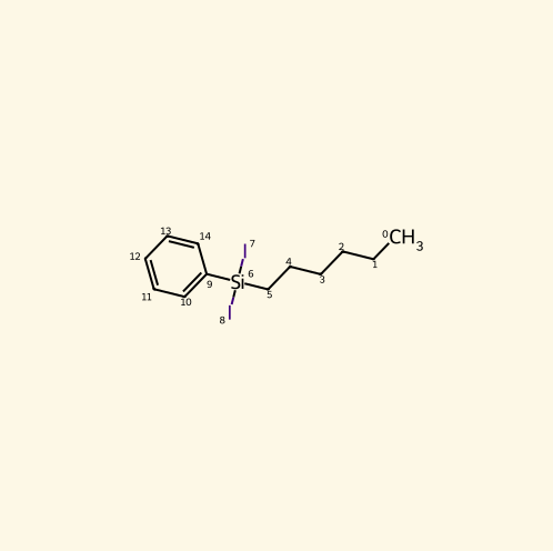 CCCCCC[Si](I)(I)c1ccccc1